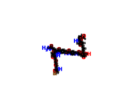 CC(=O)O[C@@H](C)/C=C\C(=O)N[C@@H]1C[C@H](C)[C@H](C/C=C(C)/C=C/[C@H]2O[C@H](CC(=O)NCc3ccc(NC(=O)OCc4ccc(NC(=O)[C@@H](CCCNC(N)=O)NC(=O)[C@H](NC(=O)CCOCCOCCNC(=O)CBr)C(C)C)cc4)cc3)C[C@@]3(CO3)[C@@H]2O)O[C@@H]1C